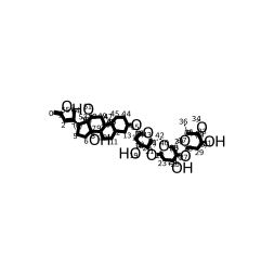 C=C1C=C([C@@H]2CCC3(O)C4CCC5CC(O[C@H]6C[C@H](O)C(OC7C[C@H](O)C(OC8C[C@H](O)[C@H](OC)[C@@H](C)O8)[C@@H](C)O7)[C@@H](C)O6)CC[C@]5(C)C4CC(O)[C@]23C)CO1